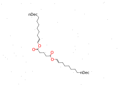 CCCCCCCCCCCCCCCCC=COC(=O)CCCC(=O)OC=CCCCCCCCCCCCCCCCC